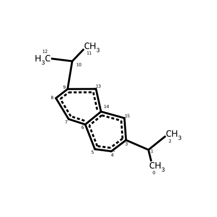 CC(C)c1[c]cc2ccc(C(C)C)cc2c1